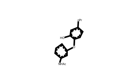 CCCc1ccc(Oc2cccc(NC(C)=O)c2)c(O)c1